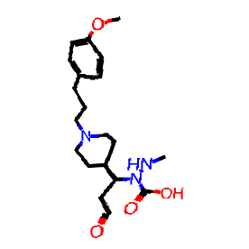 CNN(C(=O)O)C(CC=O)C1CCN(CCCc2ccc(OC)cc2)CC1